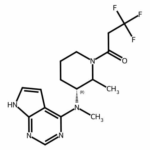 CC1[C@H](N(C)c2ncnc3[nH]ccc23)CCCN1C(=O)CC(F)(F)F